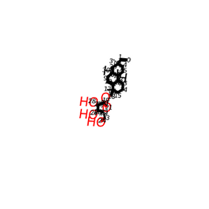 C=C[C@@]1(C)CC[C@@]2(C)[C@@H](CC=C3[C@@H]2CCC[C@]3(C)CO[C@@H]2O[C@@H](CO)[C@H](O)[C@H]2O)C1